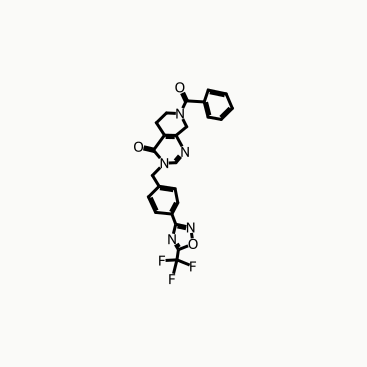 O=C(c1ccccc1)N1CCc2c(ncn(Cc3ccc(-c4noc(C(F)(F)F)n4)cc3)c2=O)C1